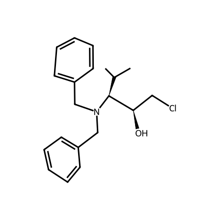 CC(C)[C@@H]([C@H](O)CCl)N(Cc1ccccc1)Cc1ccccc1